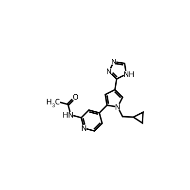 CC(=O)Nc1cc(-c2cc(-c3nnc[nH]3)cn2CC2CC2)ccn1